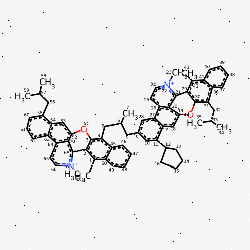 Cc1c2c(c(CC(C)Cc3cc(C4CCCC4)c4cc5c6c([n+](C)ccc6c4c3)-c3c(c(CC(C)C)c4ccccc4c3C)O5)c3ccccc13)Oc1cc3c(CC(C)C)cccc3c3cc[n+](C)c-2c13